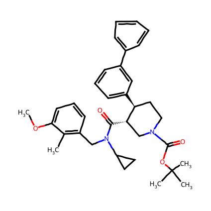 COc1cccc(CN(C(=O)[C@H]2CN(C(=O)OC(C)(C)C)CC[C@@H]2c2cccc(-c3ccccc3)c2)C2CC2)c1C